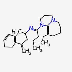 C=C(CC(C)/N=C(\CCC)N1CCCN2CCCCC(CC)=C21)C1=CC=CCC1